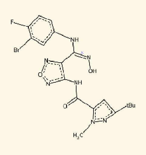 Cn1nc(C(C)(C)C)cc1C(=O)Nc1nonc1/C(=N\O)Nc1ccc(F)c(Br)c1